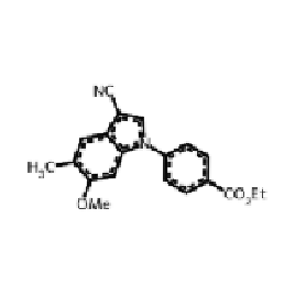 CCOC(=O)c1ccc(-n2cc(C#N)c3cc(C)c(OC)cc32)cc1